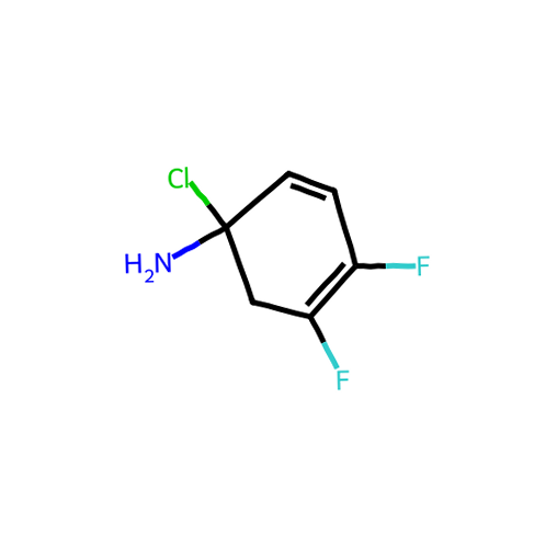 NC1(Cl)C=CC(F)=C(F)C1